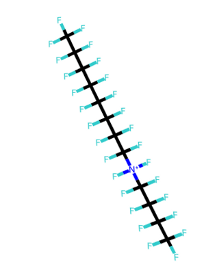 FC(F)(F)C(F)(F)C(F)(F)C(F)(F)C(F)(F)C(F)(F)C(F)(F)C(F)(F)[N+](F)(F)C(F)(F)C(F)(F)C(F)(F)C(F)(F)F